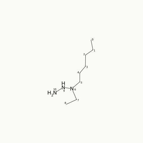 CCCCCCN(CC)NN